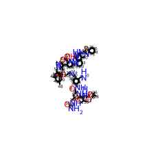 CNCc1cc(NC(=O)[C@H](CCCNC(N)=O)NC(=O)[C@@H](NC(=O)OC(C)(C)C)C(C)C)ccc1C[N+](C)(C)CCOC12CC3(C)CC(C)(CC(Cn4ncc(-c5ccc(N6CCCc7c6nnc(Nc6nc8ccccc8s6)c7C)nc5C(=O)O)c4C)(C3)C1)C2